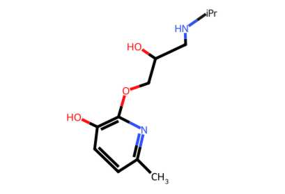 Cc1ccc(O)c(OCC(O)CNC(C)C)n1